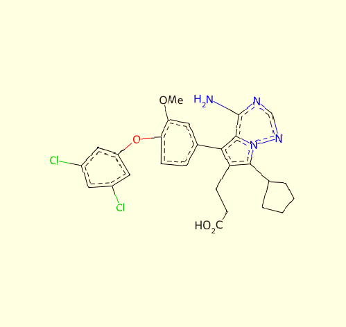 COc1cc(-c2c(CCC(=O)O)c(C3CCCC3)n3ncnc(N)c23)ccc1Oc1cc(Cl)cc(Cl)c1